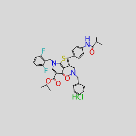 CC(C)OC(=O)c1cn(Cc2c(F)cccc2F)c2sc(-c3ccc(NC(=O)C(C)C)cc3)c(CN(C)Cc3ccccc3)c2c1=O.Cl